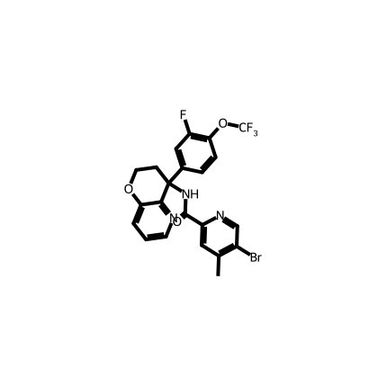 Cc1cc(C(=O)NC2(c3ccc(OC(F)(F)F)c(F)c3)CCOc3cccnc32)ncc1Br